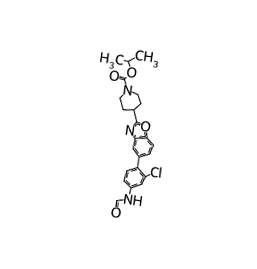 CC(C)OC(=O)N1CCC(c2nc3cc(-c4ccc(NC=O)cc4Cl)ccc3o2)CC1